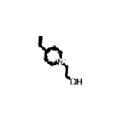 C=Cc1cc[n+](CCO)cc1